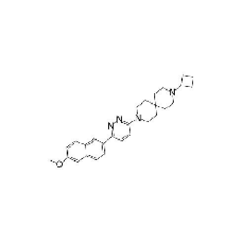 COc1ccc2cc(-c3ccc(N4CCC5(CC4)CCN(C4CCC4)CC5)nn3)ccc2c1